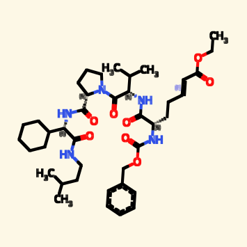 CCOC(=O)/C=C/CC[C@H](NC(=O)OCc1ccccc1)C(=O)N[C@H](C(=O)N1CCC[C@H]1C(=O)N[C@H](C(=O)NCCC(C)C)C1CCCCC1)C(C)C